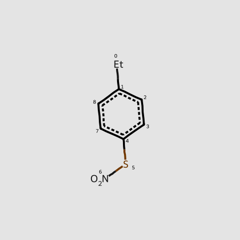 [CH2]Cc1ccc(S[N+](=O)[O-])cc1